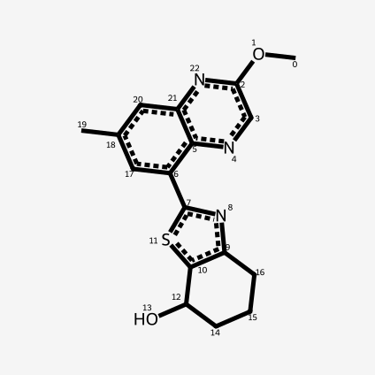 COc1cnc2c(-c3nc4c(s3)C(O)CCC4)cc(C)cc2n1